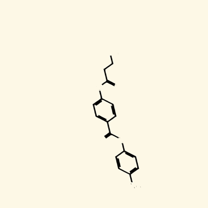 CCCCCCCCCCCCC(=O)Oc1ccc(C(=O)Sc2ccc([N+](=O)[O-])cc2)cc1